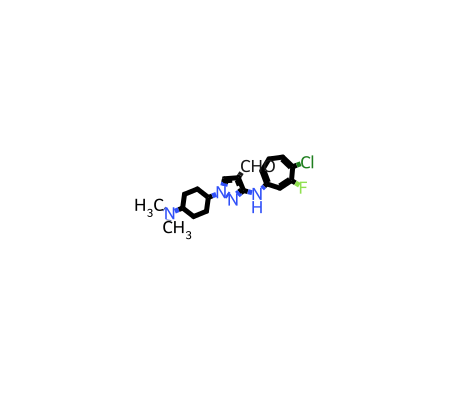 CN(C)C1CCC(n2cc(C=O)c(NC3=CCC=C(Cl)C(F)=C3)n2)CC1